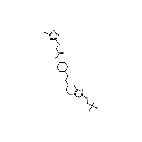 Cc1cc(OCC(=O)N[C@H]2CC[C@H](CCN3CCc4sc(OCC(F)(F)F)nc4C3)CC2)no1